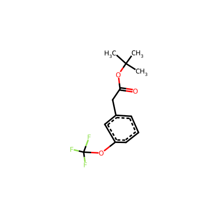 CC(C)(C)OC(=O)Cc1cccc(OC(F)(F)F)c1